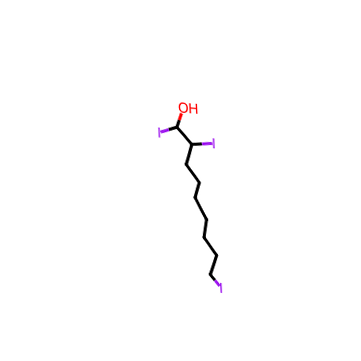 OC(I)C(I)CCCCCCCI